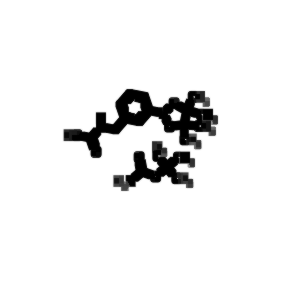 CC(C)(C)OC(N)=O.CC1(C)OB(c2cccc(CNC(=O)O)c2)OC1(C)C